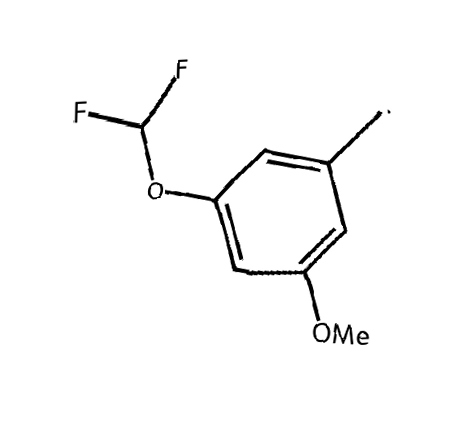 [CH2]c1cc(OC)cc(OC(F)F)c1